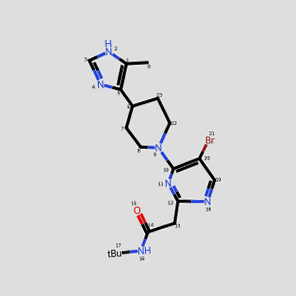 Cc1[nH]cnc1C1CCN(c2nc(CC(=O)NC(C)(C)C)ncc2Br)CC1